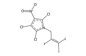 O=[N+]([O-])c1c(Cl)c(Cl)n(CC(I)=C(I)I)c1Cl